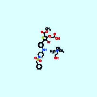 COC(=O)c1sc(-c2cccc(NC3CCN(S(=O)(=O)Cc4ccccc4)CC3)c2)c(Br)c1OCC(=O)O.C[N+](C)(C)CCO